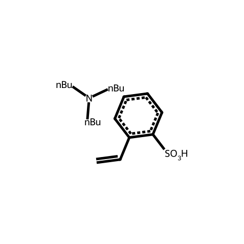 C=Cc1ccccc1S(=O)(=O)O.CCCCN(CCCC)CCCC